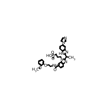 COc1ccccc1OCCNC(=O)c1ccc2nc(C(C)c3nc4cc(-n5ccnc5)ccc4[nH]3)n(CCCS(=O)(=O)O)c2c1